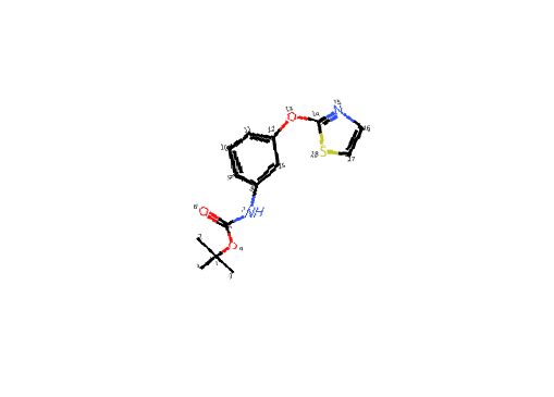 CC(C)(C)OC(=O)Nc1cccc(Oc2nccs2)c1